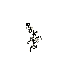 C/N=C\CCOP(=S)(OC[C@H]1O[C@@H](n2cnc3c(NC(=O)c4ccccc4)ncnc32)C(O)C1F)OC1C(F)[C@@H](COP(OCCC#N)N(C(C)C)C(C)C)O[C@H]1n1ccc(=O)[nH]c1=O